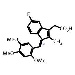 COc1cc(OC)c(OC)cc1/C=C1/C(C)=C(CC(=O)O)c2cc(F)ccc21